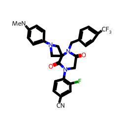 CNc1ccc(N2CC3(C2)C(=O)N(c2ccc(C#N)cc2F)CC(=O)N3Cc2ccc(C(F)(F)F)cc2)cc1